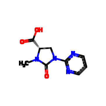 CN1C(=O)N(c2ncccn2)C[C@H]1C(=O)O